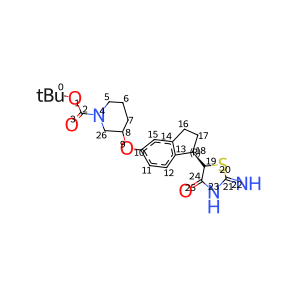 CC(C)(C)OC(=O)N1CCCC(Oc2ccc3c(c2)CC[C@H]3C2SC(=N)NC2=O)C1